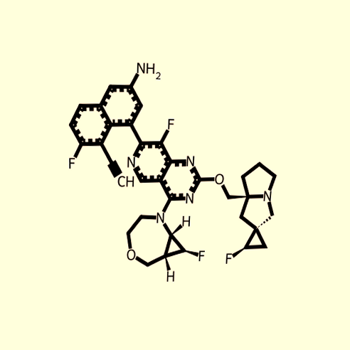 C#Cc1c(F)ccc2cc(N)cc(-c3ncc4c(N5CCOC[C@H]6[C@H](F)[C@H]65)nc(OC[C@@]56CCCN5C[C@@]5(C[C@H]5F)C6)nc4c3F)c12